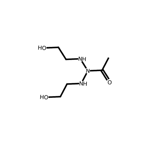 CC(=O)N(NCCO)NCCO